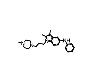 Cc1c(C)n(CCCN2CCN(C)CC2)c2ccc(Nc3cc[c]cc3)cc12